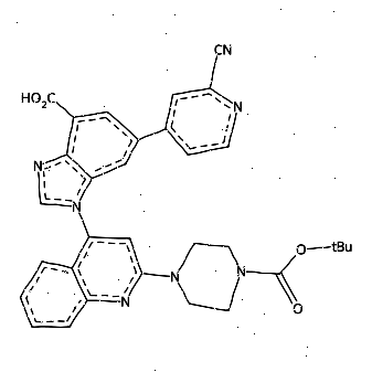 CC(C)(C)OC(=O)N1CCN(c2cc(-n3cnc4c(C(=O)O)cc(-c5ccnc(C#N)c5)cc43)c3ccccc3n2)CC1